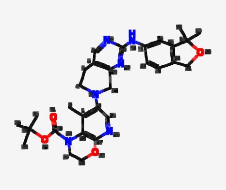 Cc1c(N2CCc3cnc(Nc4ccc5c(c4)C(C)(C)OC5)nc3C2)cnc2c1N(C(=O)OC(C)(C)C)CCO2